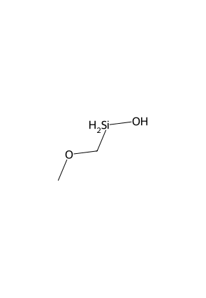 COC[SiH2]O